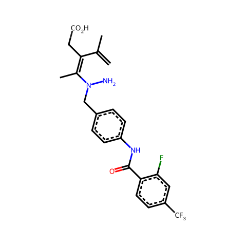 C=C(C)/C(CC(=O)O)=C(/C)N(N)Cc1ccc(NC(=O)c2ccc(C(F)(F)F)cc2F)cc1